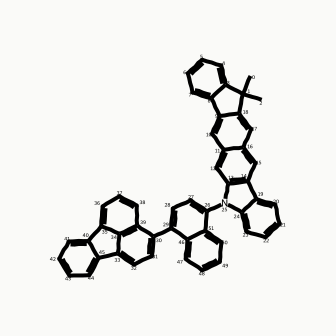 CC1(C)c2ccccc2-c2cc3cc4c(cc3cc21)c1ccccc1n4-c1ccc(-c2ccc3c4c(cccc24)-c2ccccc2-3)c2ccccc12